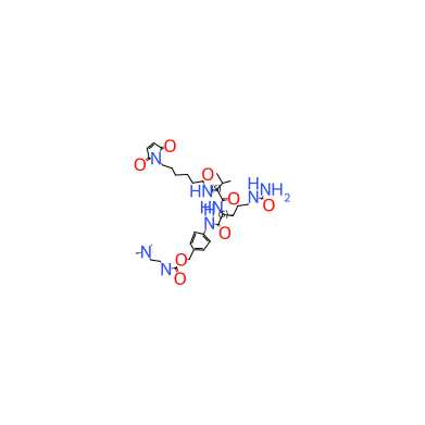 CC(C)[C@H](NC(=O)CCCCCN1C(=O)C=CC1=O)C(=O)N[C@@H](CCCNC(N)=O)C(=O)Nc1ccc(COC(=O)N(C)CCN(C)C)cc1